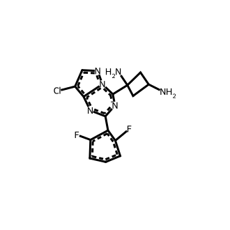 NC1CC(N)(c2nc(-c3c(F)cccc3F)nc3c(Cl)cnn23)C1